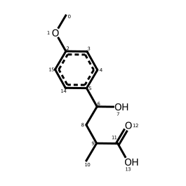 COc1ccc(C(O)CC(C)C(=O)O)cc1